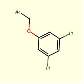 CC(=O)COc1cc(Cl)cc(Cl)c1